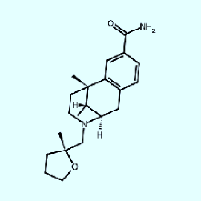 C[C@H]1[C@H]2Cc3ccc(C(N)=O)cc3[C@@]1(C)CCN2C[C@@]1(C)CCCO1